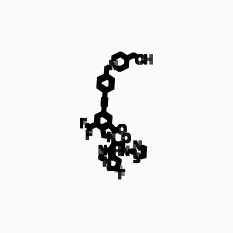 O=C(Nc1nccs1)C(c1ncn2c1C[C@@H](F)C2)N1Cc2c(cc(C#Cc3ccc(CN4CCC(CO)CC4)cc3)cc2C(F)F)C1=O